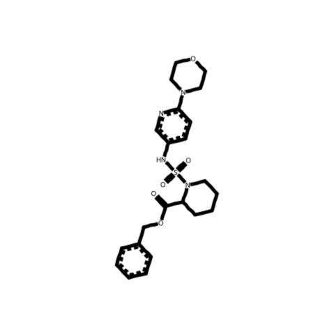 O=C(OCc1ccccc1)C1CCCCN1S(=O)(=O)Nc1ccc(N2CCOCC2)nc1